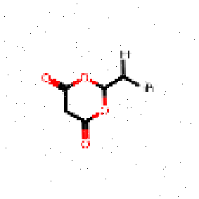 CCCC(CC)C1OC(=O)CC(=O)O1